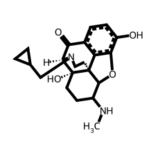 CNC1CC[C@@]2(O)[C@H]3C(=O)c4ccc(O)c5c4[C@@]2(CCN3CC2CC2)C1O5